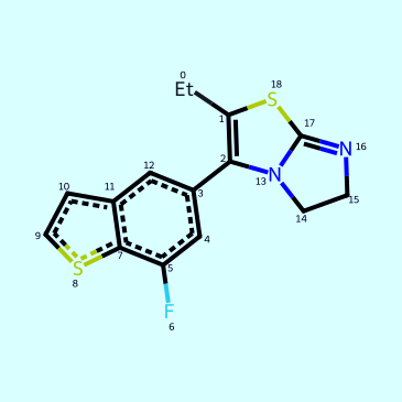 CCC1=C(c2cc(F)c3sccc3c2)N2CCN=C2S1